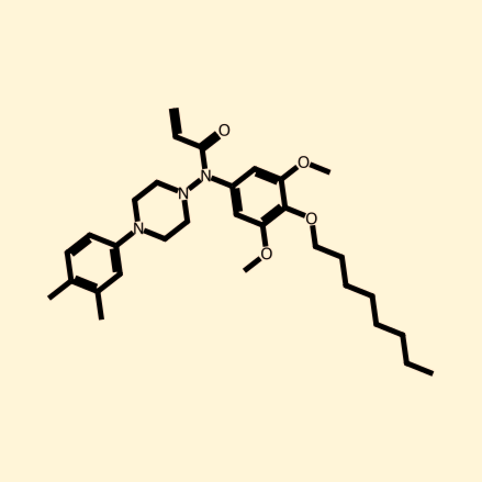 C=CC(=O)N(c1cc(OC)c(OCCCCCCCC)c(OC)c1)N1CCN(c2ccc(C)c(C)c2)CC1